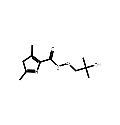 CC1=NC(C(=O)NOCC(C)(C)O)=C(C)C1